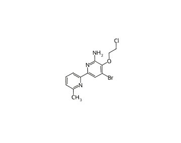 Cc1cccc(-c2cc(Br)c(OCCCl)c(N)n2)n1